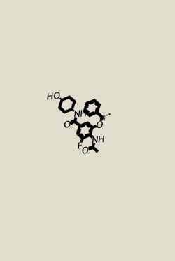 CC(=O)Nc1c(F)cc(C(=O)N[C@H]2CC[C@H](O)CC2)cc1O[C@@H](C)c1ccccc1